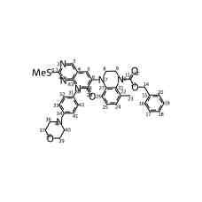 CSc1ncc2cc(N3CCN(C(=O)OCc4ccccc4)c4c(C)cccc43)c(=O)n(-c3ccc(N4CCOCC4)cc3)c2n1